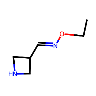 CCON=CC1CNC1